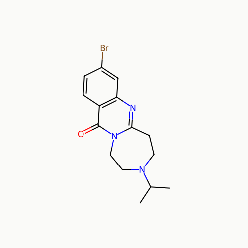 CC(C)N1CCc2nc3cc(Br)ccc3c(=O)n2CC1